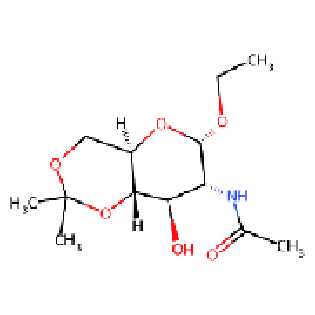 CCO[C@H]1O[C@@H]2COC(C)(C)O[C@H]2[C@H](O)[C@H]1NC(C)=O